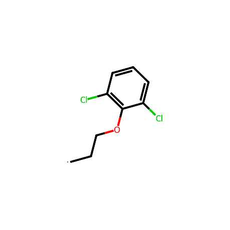 [CH2]CCOc1c(Cl)cccc1Cl